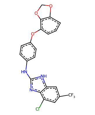 FC(F)(F)c1cc(Cl)c2nc(Nc3ccc(Oc4cccc5c4OCO5)cc3)[nH]c2c1